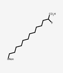 CCCCCCCCCCCCCCCCCCCCC(F)C(=O)O